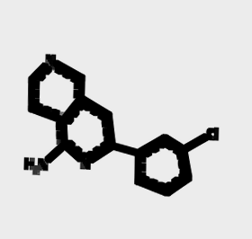 Nc1nc(-c2cccc(Cl)c2)cc2cnccc12